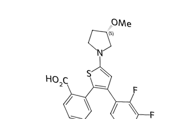 CO[C@H]1CCN(c2cc(-c3cccc(F)c3F)c(-c3ccccc3C(=O)O)s2)C1